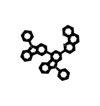 c1ccc(-n2c3ccccc3c3cc(-c4cc(-c5ccc6ccc7cccnc7c6n5)cc5c4c4ccccc4n5-c4ccccc4)ccc32)cc1